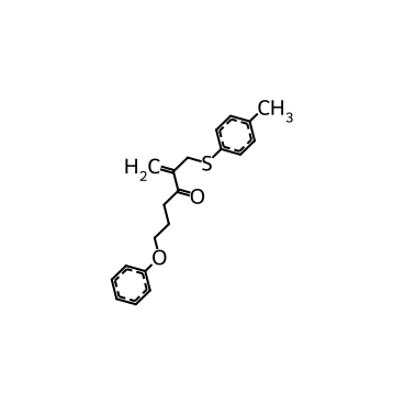 C=C(CSc1ccc(C)cc1)C(=O)CCCOc1ccccc1